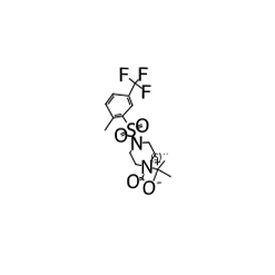 Cc1ccc(C(F)(F)F)cc1S(=O)(=O)N1CC[N+](C(=O)[O-])(C(C)(C)C)[C@@H](C)C1